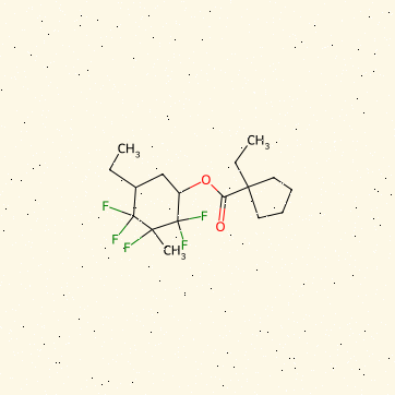 CCC1CC(OC(=O)C2(CC)CCCC2)C(F)(F)C(C)(F)C1(F)F